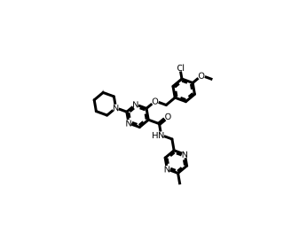 COc1ccc(COc2nc(N3C[CH]CCC3)ncc2C(=O)NCc2cnc(C)cn2)cc1Cl